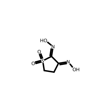 O=S1(=O)CCC(=NO)C1=NO